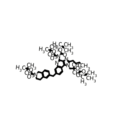 CCCCc1nc2c(N(C(=O)OC(C)(C)C)C(=O)OC(C)(C)C)nc3cc(Cc4ccc5c(c4)CCN(C(=O)OC(C)(C)C)C5)ccc3c2n1CC(C)(C)OC(=O)OC(C)(C)C